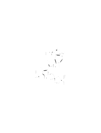 Cc1c(C(C)(F)F)nn(CC2(C)CCC(F)(F)C2)c1C(=O)Nc1cc[n+]([O-])c(S(C)(=N)=O)c1